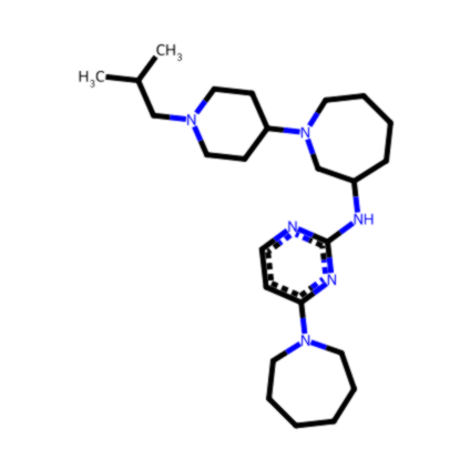 CC(C)CN1CCC(N2CCCCC(Nc3nccc(N4CCCCCC4)n3)C2)CC1